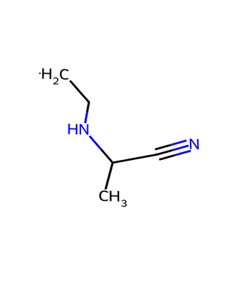 [CH2]CNC(C)C#N